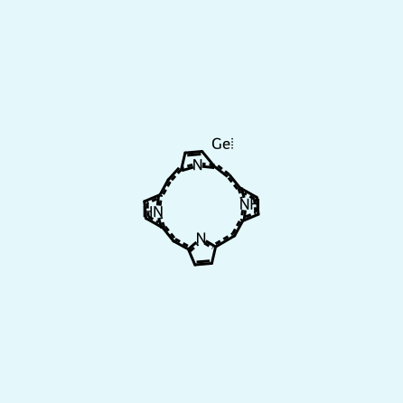 C1=Cc2cc3ccc(cc4nc(cc5ccc(cc1n2)[nH]5)C=C4)[nH]3.[Ge]